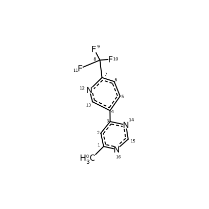 Cc1cc(-c2ccc(C(F)(F)F)nc2)ncn1